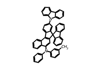 Cc1cccc(N(c2ccccc2)c2cc3c(c4ccccc24)-c2ccc(-n4c5ccccc5c5ccccc54)cc2C32c3ccccc3-c3ccccc32)c1